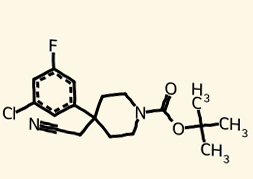 CC(C)(C)OC(=O)N1CCC(CC#N)(c2cc(F)cc(Cl)c2)CC1